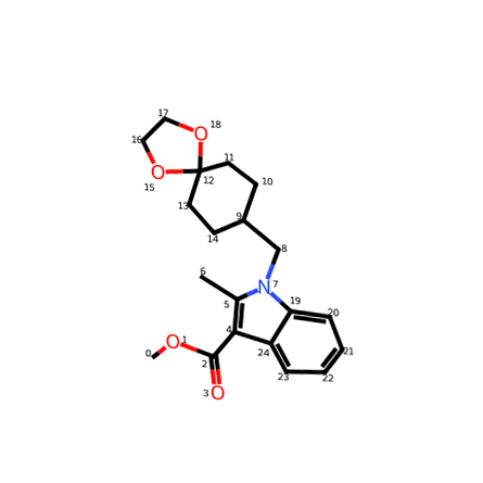 COC(=O)c1c(C)n(CC2CCC3(CC2)OCCO3)c2ccccc12